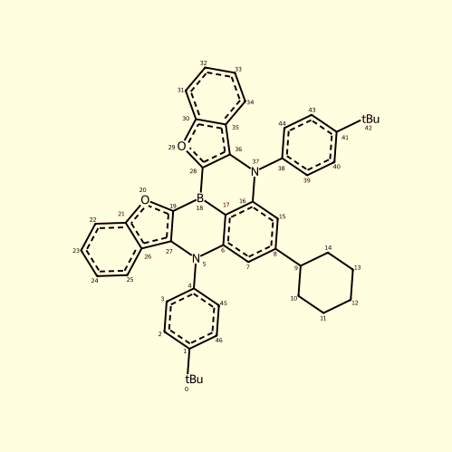 CC(C)(C)c1ccc(N2c3cc(C4CCCCC4)cc4c3B(c3oc5ccccc5c32)c2oc3ccccc3c2N4c2ccc(C(C)(C)C)cc2)cc1